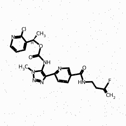 C=C(F)CCNC(=O)c1ccc(-c2nnn(C)c2NC(=O)O[C@H](C)c2cccnc2Cl)nc1